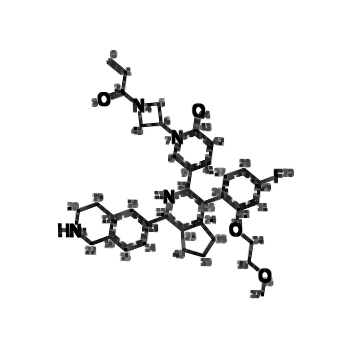 C=CC(=O)N1CC(n2cc(-c3nc(-c4ccc5c(c4)CCNC5)c4c(c3-c3ccc(F)cc3OCCOC)CCC4)ccc2=O)C1